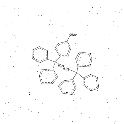 COc1ccc(C(N)(c2ccccc2)c2ccccc2)cc1.NC(c1ccccc1)(c1ccccc1)c1ccccc1